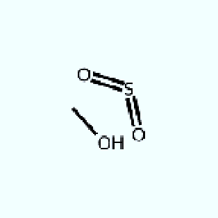 CO.O=S=O